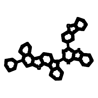 c1ccc(-c2cc3oc4c(ccc5c4c4ccccc4n5-c4nc(-c5ccc6oc7ccccc7c6c5)c5sc6ccccc6c5n4)c3c3ccccc23)cc1